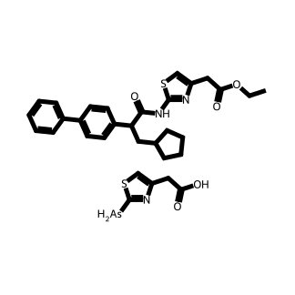 CCOC(=O)Cc1csc(NC(=O)C(CC2CCCC2)c2ccc(-c3ccccc3)cc2)n1.O=C(O)Cc1csc([AsH2])n1